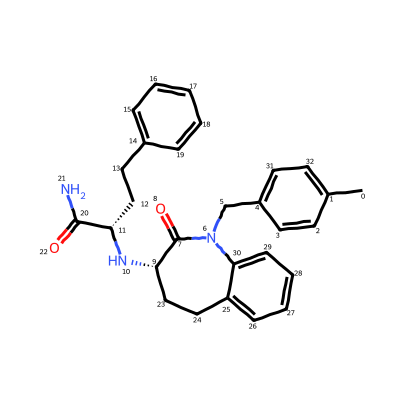 Cc1ccc(CN2C(=O)[C@@H](N[C@@H](CCc3ccccc3)C(N)=O)CCc3ccccc32)cc1